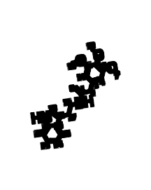 C=C(Cc1cc(OC)c(OC)c(OC)c1)NCCc1c[nH]c2ccccc12